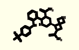 CS(=O)(=O)c1ccc(Nc2nccnc2C2NC[C@H](C3N(C(N)=O)CC34CNC4)CC2C(N)=O)cc1